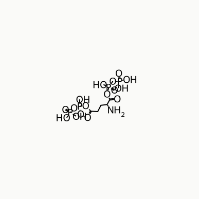 N[C@@H](CCC(=O)OP(=O)(O)OP(=O)(O)O)C(=O)OP(=O)(O)OP(=O)(O)O